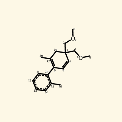 COCC1(COC)C=CC(c2ccccc2C)=C(C)C1